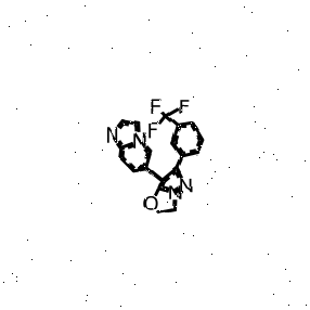 FC(F)(F)c1cccc(-c2nn3c(c2-c2ccc4nccn4c2)OCC3)c1